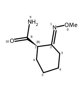 CON=C1CCCC[C@H]1C(N)=O